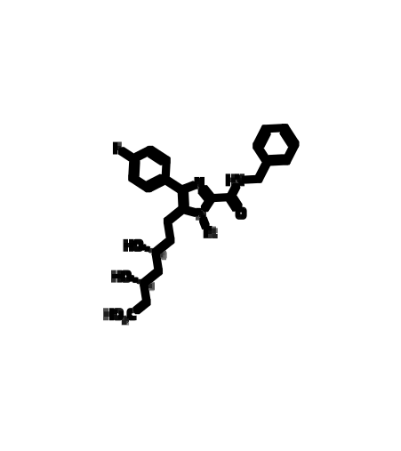 CCn1c(C(=O)NCc2ccccc2)nc(-c2ccc(F)cc2)c1CC[C@@H](O)C[C@@H](O)CC(=O)O